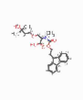 CN(C(=O)OCCC1c2ccccc2-c2ccccc21)C(COCCC(C)(C)O)C(=O)O